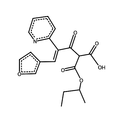 CCC(C)OC(=O)C(C(=O)O)C(=O)C(=Cc1ccoc1)c1ccccn1